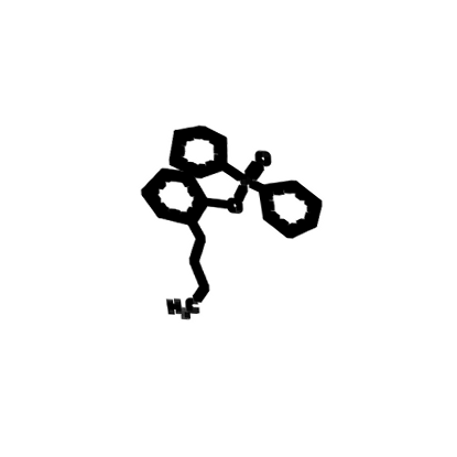 CCCCc1ccccc1OP(=O)(c1ccccc1)c1ccccc1